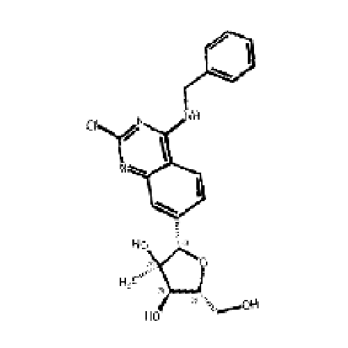 C[C@@]1(O)[C@H](O)[C@@H](CO)O[C@H]1c1ccc2c(NCc3ccccc3)nc(Cl)nc2c1